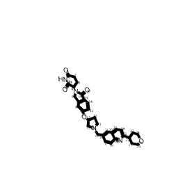 O=C1CCC(N2Cc3cc(OC4CCN(Cc5ccc6nc(C7CCOCC7)ccc6c5)C4)ccc3C2=O)C(=O)N1